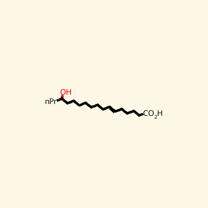 CCCC(O)CCCCCCCC=CCCCCC(=O)O